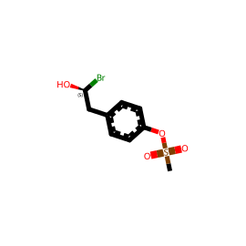 CS(=O)(=O)Oc1ccc(C[C@@H](O)Br)cc1